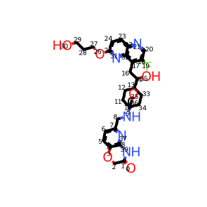 O=C1COc2ccc(CNC34CCC(C(O)Cc5c(F)cnc6ccc(OCCCO)nc56)(CC3)OC4)nc2N1